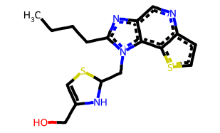 CCCCc1nc2cnc3ccsc3c2n1CC1NC(CO)=CS1